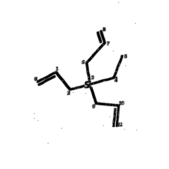 C=CC[Si]([CH]C)(CC=C)CC=C